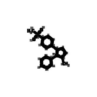 Cc1ccc(-c2ccc(S(C)(=O)=O)cc2)n1-c1ccncc1